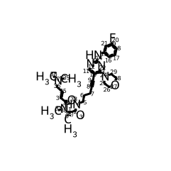 C[C@@H](C(=O)NCCCC#Cc1cnc(Nc2cccc(F)c2)nc1N1CCOCC1)N(C)C(=O)C=CCN(C)C